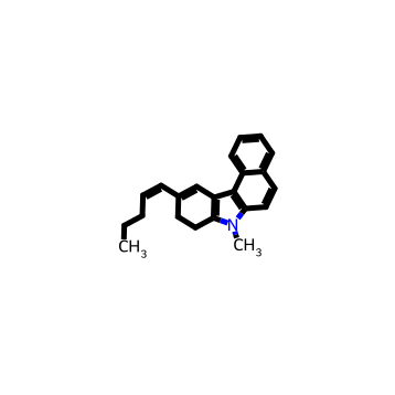 CCC/C=C\C1=Cc2c(n(C)c3ccc4ccccc4c23)CC1